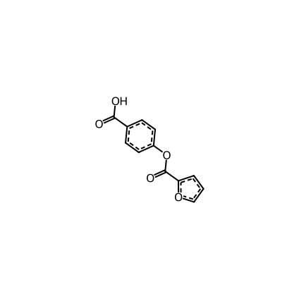 O=C(O)c1ccc(OC(=O)c2ccco2)cc1